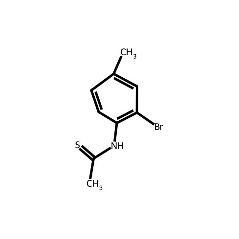 CC(=S)Nc1ccc(C)cc1Br